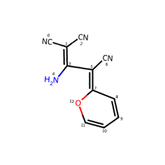 N#CC(C#N)=C(N)C(C#N)=C1C=CC=CO1